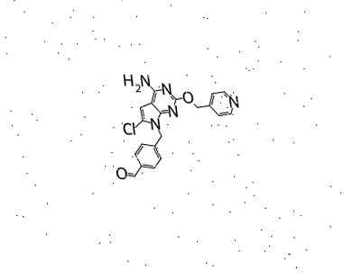 Nc1nc(OCc2ccncc2)nc2c1cc(Cl)n2Cc1ccc(C=O)cc1